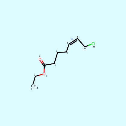 CCOC(=O)CCC/C=C\CCl